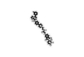 Cc1cccc(-c2cnc(Nc3ccc(C4CCN(CCNC(=O)COc5ccc6c(c5)C(=O)N(C5CCC(=O)NC5=O)C6=O)CC4)cc3)c3nccn23)c1